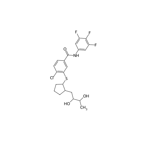 CC(O)C(O)CC1CCCC1Sc1cc(C(=O)Nc2cc(F)c(F)c(F)c2)ccc1Cl